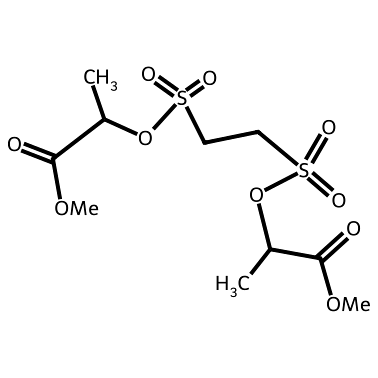 COC(=O)C(C)OS(=O)(=O)CCS(=O)(=O)OC(C)C(=O)OC